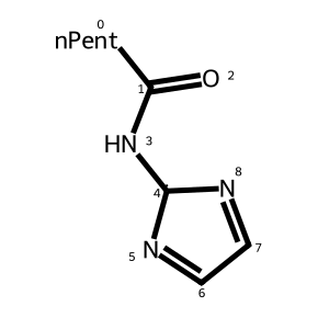 CCCCCC(=O)N[C]1N=CC=N1